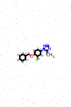 Cc1nnnn1-c1ccc(OCc2ccccc2)c(F)c1